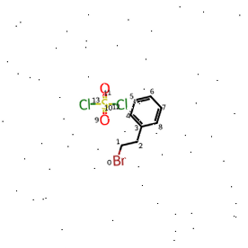 BrCCc1ccccc1.O=S(=O)(Cl)Cl